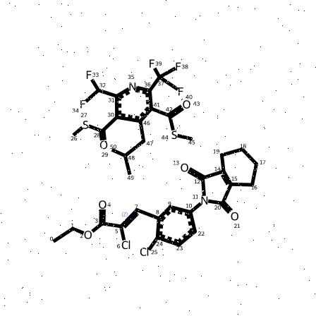 CCOC(=O)/C(Cl)=C/c1cc(N2C(=O)C3=C(CCCC3)C2=O)ccc1Cl.CSC(=O)c1c(C(F)F)nc(C(F)(F)F)c(C(=O)SC)c1CC(C)C